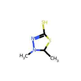 CC1SC(S)=NN1C